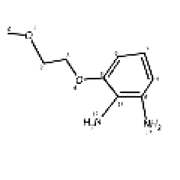 COCCOc1cccc(N)c1N